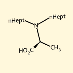 CCCCCCCN(CCCCCCC)[C@@H](C)C(=O)O